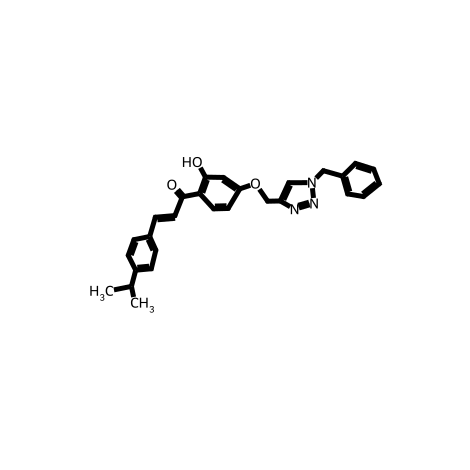 CC(C)c1ccc(/C=C/C(=O)c2ccc(OCc3cn(Cc4ccccc4)nn3)cc2O)cc1